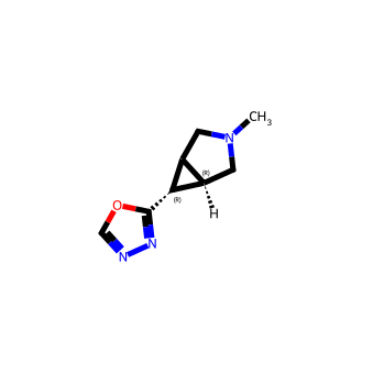 CN1CC2[C@@H](C1)[C@@H]2c1nnco1